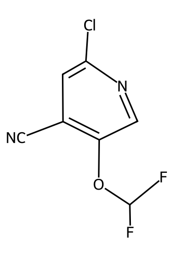 N#Cc1cc(Cl)ncc1OC(F)F